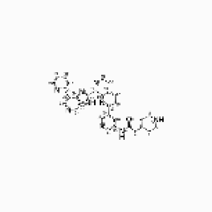 O=C(CC1CCNCC1)Nc1cncc(-c2ccc3c(n2)C(c2nc4c(-c5ccccn5)cncc4[nH]2)=NCC3)c1